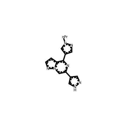 CCCn1cc(-c2nc(-c3cn[nH]c3)cn3nccc23)cn1